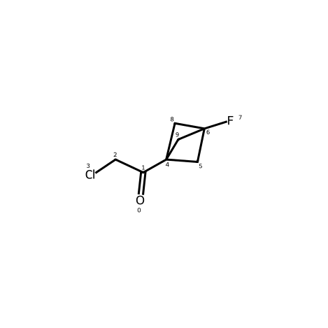 O=C(CCl)C12CC(F)(C1)C2